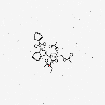 CCO[C@@H]1O[C@H](COC(C)=O)[C@@H](OC(C)=O)C[C@]1(OC(C)=O)c1cn(S(=O)(=O)c2ccccc2)c2ccccc12